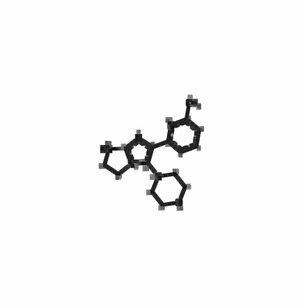 Cc1cccc(-c2nc3n(c2N2CCOCC2)CCN3)n1